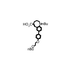 CCCCOCCOc1ccc(-c2ccc3c(c2)C=C(C(=O)O)CCCN3CCCC)cc1